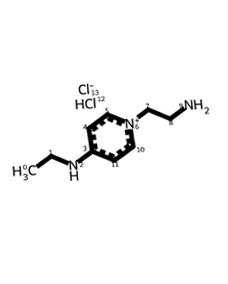 CCNc1cc[n+](CCN)cc1.Cl.[Cl-]